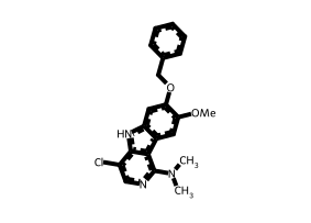 COc1cc2c(cc1OCc1ccccc1)[nH]c1c(Cl)cnc(N(C)C)c12